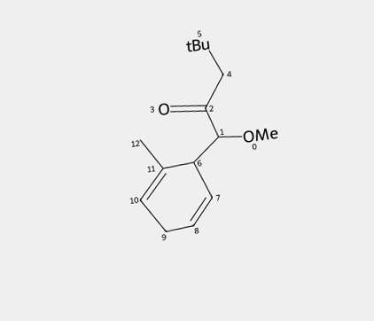 COC(C(=O)CC(C)(C)C)C1C=CCC=C1C